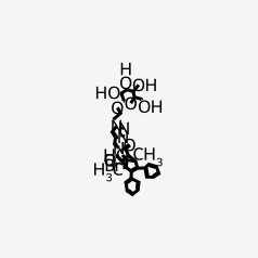 CC12C(c3ccccc3)=C(c3ccccc3)C(C)(C1O)C1(Br)C(=O)N(Cc3cn(CCOC4OC(CO)C(O)C(O)C4O)nn3)C(=O)C21